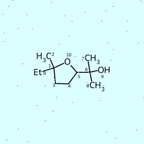 CCC1(C)CCC(C(C)(C)O)O1